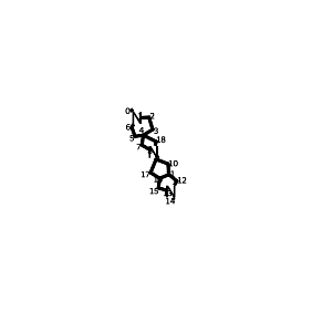 CN1CCC2(CC1)CN(C1CC3CN(C)CC3C1)C2